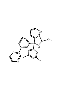 Cc1cc(C2(c3cccc(-c4cncnc4)c3)NC(N)c3ncccc32)cc(C)n1